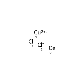 [Ce].[Cl-].[Cl-].[Cu+2]